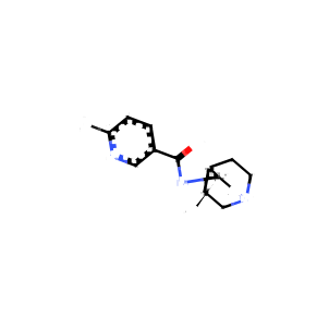 O=C(N[C@H]1CN2CCC1CC2)c1ccc(C(F)(F)F)nc1